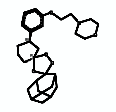 c1cc(OCCN2CCOCC2)cc([C@@H]2CCC[C@]3(C2)OOC2(O3)C3CC4CC(C3)CC2C4)c1